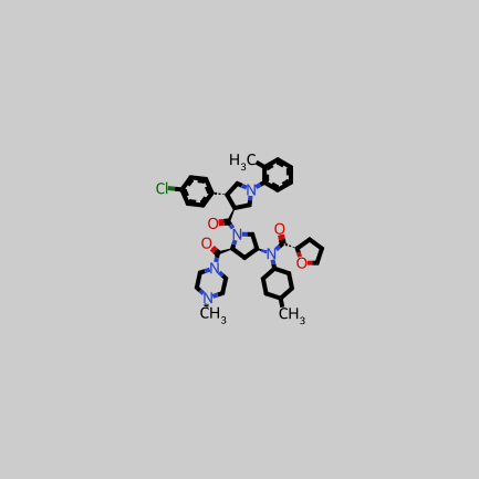 Cc1ccccc1N1C[C@@H](C(=O)N2C[C@@H](N(C(=O)[C@@H]3CCCO3)C3CCC(C)CC3)C[C@H]2C(=O)N2CCN(C)CC2)[C@H](c2ccc(Cl)cc2)C1